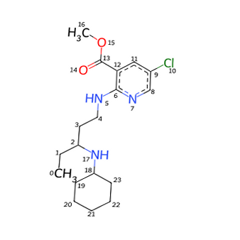 CCC(CCNc1ncc(Cl)cc1C(=O)OC)NC1CCCCC1